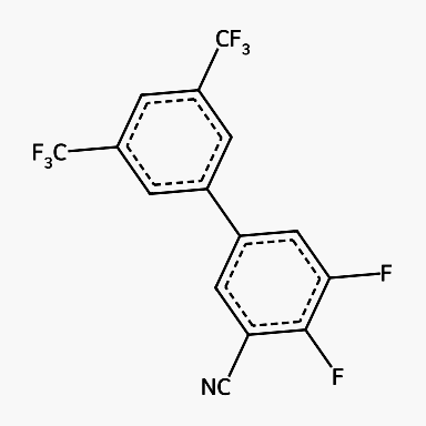 N#Cc1cc(-c2cc(C(F)(F)F)cc(C(F)(F)F)c2)cc(F)c1F